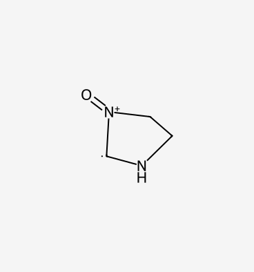 O=[N+]1[CH]NCC1